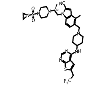 Cc1c(CN2CCC(Nc3ncnc4sc(CC(F)(F)F)cc34)CC2)ccc2c1cc(C#N)n2C[C@H](C)N1CCN(S(=O)(=O)N2CC2)CC1